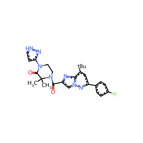 CC(C)(C)c1cc(-c2ccc(F)cc2)nn2cc(C(=O)N3CCN(c4cc[nH]n4)C(=O)C3(C)C)nc12